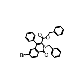 O=C(OCc1ccccc1)c1c(-c2ccccc2)c2cc(Br)ccc2c(=O)n1Cc1ccccc1